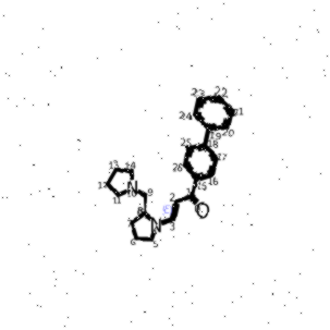 O=C(/C=C/N1CCC[C@H]1CN1CCCC1)c1ccc(-c2ccccc2)cc1